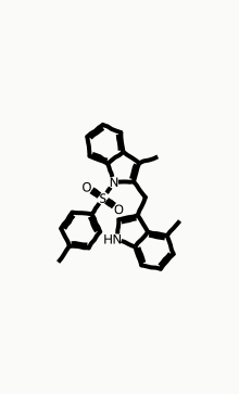 Cc1ccc(S(=O)(=O)n2c(Cc3c[nH]c4cccc(C)c34)c(C)c3ccccc32)cc1